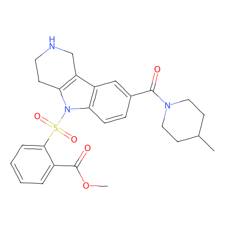 COC(=O)c1ccccc1S(=O)(=O)n1c2c(c3cc(C(=O)N4CCC(C)CC4)ccc31)CNCC2